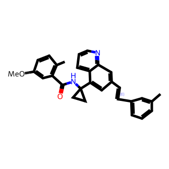 COc1ccc(C)c(C(=O)NC2(c3cc(/C=C/c4cccc(C)c4)cc4ncccc34)CC2)c1